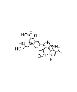 CNc1cc(F)c(F)c2c1[nH]c1ncc(-c3cnc4c(c3)c(=O)c(C(=O)O)cn4CC(O)CO)c(N3CCOCC3)c12